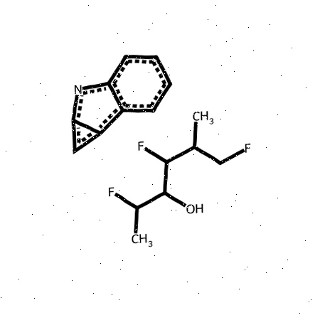 CC(F)C(O)C(F)C(C)CF.c1ccc2c3cc-3nc2c1